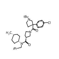 CC(C)CN(C(=O)[C@H]1CCN(C(=O)C2(c3ccc(Cl)cc3)CCN(C(C)(C)C)C2)C1)[C@H]1CC[C@@H](C)CC1